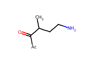 CC(=O)C(=O)C(C)CCN